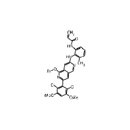 C=CC(=O)Nc1cccc(C)c1Nc1cc2c(OCC)nc(-c3c(Cl)c(OC)cc(OC)c3Cl)cc2cn1